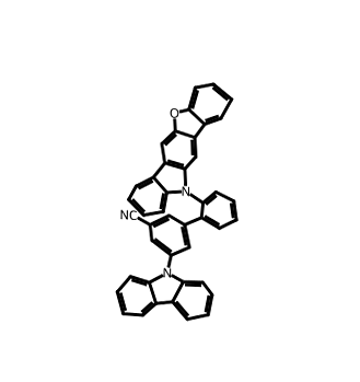 N#Cc1cc(-c2ccccc2-n2c3ccccc3c3cc4oc5ccccc5c4cc32)cc(-n2c3ccccc3c3ccccc32)c1